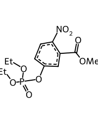 CCOP(=O)(OCC)Oc1ccc([N+](=O)[O-])c(C(=O)OC)c1